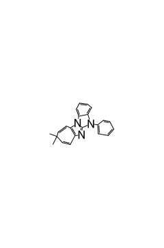 CC1(C)C=Cc2nc3n(-c4ccccc4)c4ccccc4n3c2C=C1